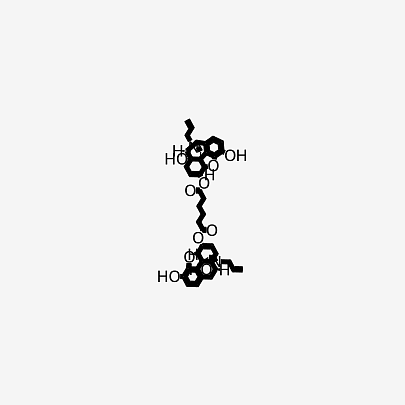 C=CCN1CC[C@]23c4c5ccc(O)c4O[C@H]2C(OC(=O)CCCCC(=O)OC2=CC[C@@]4(O)[C@H]6Cc7ccc(O)c8c7[C@@]4(CCN6CC=C)[C@H]2O8)=CC[C@@]3(O)[C@H]1C5